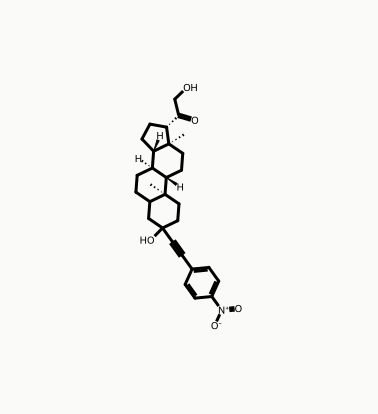 C[C@]12CC[C@H]3[C@@H](CCC4CC(O)(C#Cc5ccc([N+](=O)[O-])cc5)CC[C@@]43C)[C@@H]1CC[C@@H]2C(=O)CO